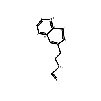 O=COCCc1ccc2ncccc2c1